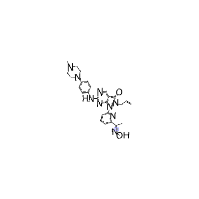 C=CCn1c(=O)c2cnc(Nc3ccc(N4CCN(C)CC4)cc3)nc2n1-c1cccc(/C(C)=N/O)n1